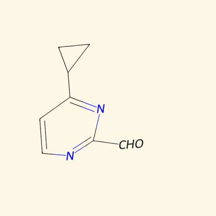 O=Cc1nccc(C2CC2)n1